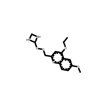 CCOc1cc(COOC2NCN2)nc2ccc(OC)cc12